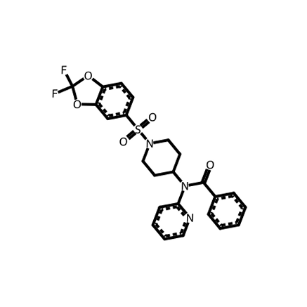 O=C(c1ccccc1)N(c1ccccn1)C1CCN(S(=O)(=O)c2ccc3c(c2)OC(F)(F)O3)CC1